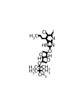 C=CCc1c(Cl)c(I)nc2nc(O[C@@H]3CO[C@H]4[C@@H]3OC[C@H]4O[Si](C)(C)C(C)(C)C)[nH]c12